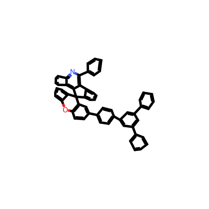 c1ccc(-c2cc(-c3ccccc3)cc(-c3ccc(-c4ccc5c(c4)C4(c6ccccc6O5)c5ccccc5-c5c(-c6ccccc6)nc6ccccc6c54)cc3)c2)cc1